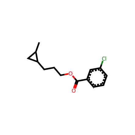 CC1CC1CCCOC(=O)c1[c]ccc(Cl)c1